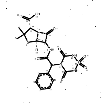 CC1(C)S[C@@H]2C(NC(=O)C(c3ccccc3)N3C(=O)NS(=O)(=O)NC3=O)C(=O)N2[C@H]1C(=O)O